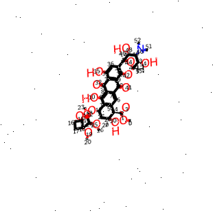 COC(=O)[C@@H]1c2cc3c(c(O)c2[C@@H](OC2OC4CC(OC)(C4OC)C2OC)C[C@]1(C)O)C(=O)c1c(O)cc2c(c1C3=O)O[C@H]1O[C@]2(C)[C@H](O)[C@@H](N(C)C)[C@@H]1O